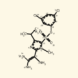 CC(C)c1nc(C(N)=C(N)N)n(C)c1S(=O)(=O)Oc1cc(Cl)cc(Cl)c1